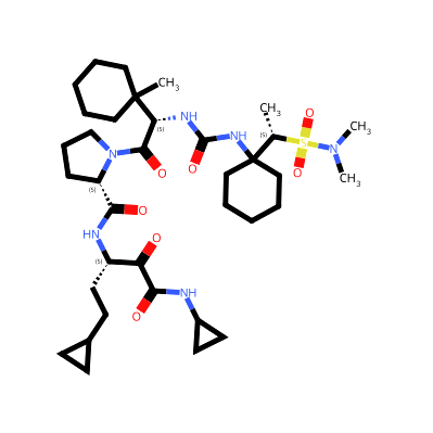 C[C@@H](C1(NC(=O)N[C@H](C(=O)N2CCC[C@H]2C(=O)N[C@@H](CCC2CC2)C(=O)C(=O)NC2CC2)C2(C)CCCCC2)CCCCC1)S(=O)(=O)N(C)C